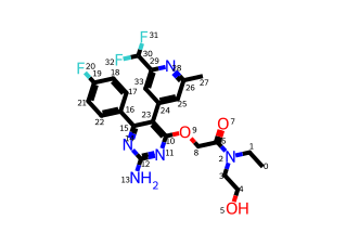 CCN(CCO)C(=O)COc1nc(N)nc(-c2ccc(F)cc2)c1-c1cc(C)nc(C(F)F)c1